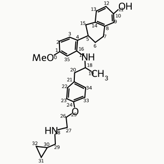 COc1ccc(C2CCc3cc(O)ccc3C2)c(NC(C)Cc2ccc(OCCNCC3CC3)cc2)c1